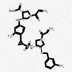 C=CC(=O)N1C[C@@H](NS(=O)(=O)C2CC2c2ccc(N[C@@H]3CN(C(=O)C=C)C[C@H]3C(=O)NC)cc2C(F)(F)F)[C@H](OCc2cccc(C(F)(F)F)c2)C1